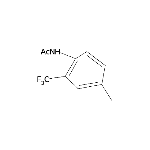 CC(=O)Nc1ccc(C)cc1C(F)(F)F